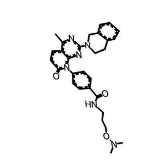 Cc1nc(N2CCc3ccccc3C2)nc2c1ccc(=O)n2-c1ccc(C(=O)NCCCON(C)C)cc1